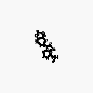 CNc1nccn2c(-c3ccc4c(c3)OCO4)cnc12